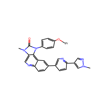 CC(C)Oc1ccc(-n2c(=O)n(C)c3cnc4ccc(-c5ccc(-c6cnn(C)c6)nc5)cc4c32)cc1